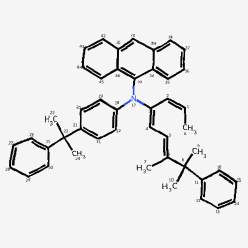 C\C=C/C(=C\C=C(/C)C(C)(C)c1ccccc1)N(c1ccc(C(C)(C)c2ccccc2)cc1)c1c2ccccc2cc2ccccc12